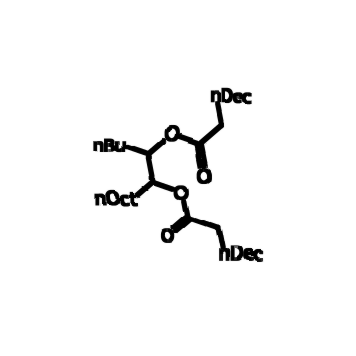 CCCCCCCCCCCC(=O)OC(CCCC)C(CCCCCCCC)OC(=O)CCCCCCCCCCC